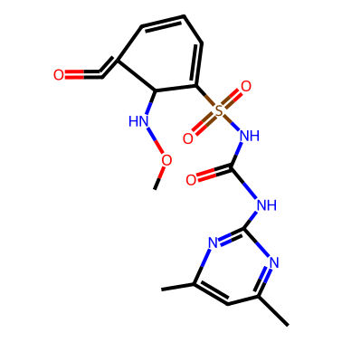 CONC1C(=C=O)C=CC=C1S(=O)(=O)NC(=O)Nc1nc(C)cc(C)n1